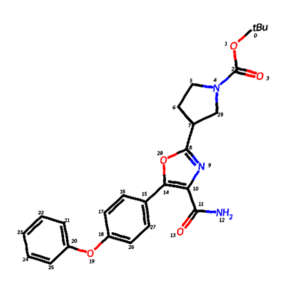 CC(C)(C)OC(=O)N1CCC(c2nc(C(N)=O)c(-c3ccc(Oc4ccccc4)cc3)o2)C1